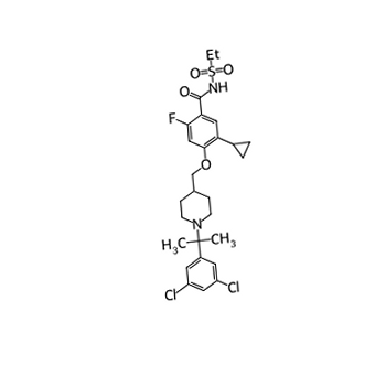 CCS(=O)(=O)NC(=O)c1cc(C2CC2)c(OCC2CCN(C(C)(C)c3cc(Cl)cc(Cl)c3)CC2)cc1F